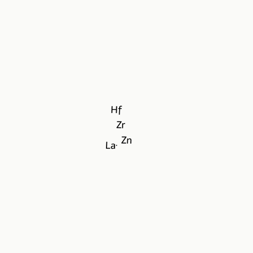 [Hf].[La].[Zn].[Zr]